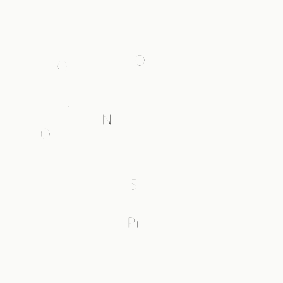 C/C=C/C(=O)N1C(=O)OC[C@H]1SC(C)C